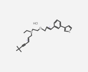 CCN(C/C=C/C#CC(C)(C)C)CCOC/C=C/c1cccc(-c2ccsc2)c1.Cl